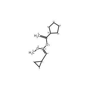 C=C(O[Si](=CC1CC1)OC)C1CCCC1